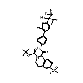 CC(C)(C)OC(=O)N1CCc2cc(S(C)(=O)=O)ccc2C1C(=O)Nc1ccc(-c2ccc(C(O)(C(F)(F)F)C(F)(F)F)cc2F)cc1